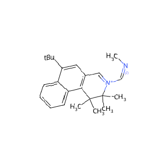 C/N=C\[N+]1=Cc2cc(C(C)(C)C)c3ccccc3c2C(C)(C)C1(C)C